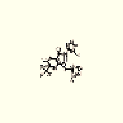 Cc1cc(C(=O)Nc2nnnn2C)c(OCc2nnnn2C)nc1C(F)(F)F